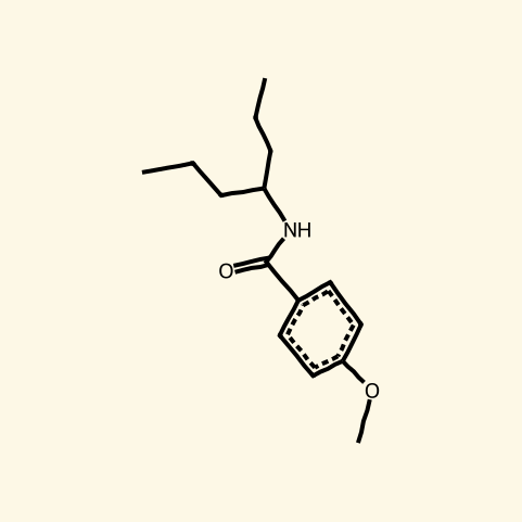 CCCC(CCC)NC(=O)c1ccc(OC)cc1